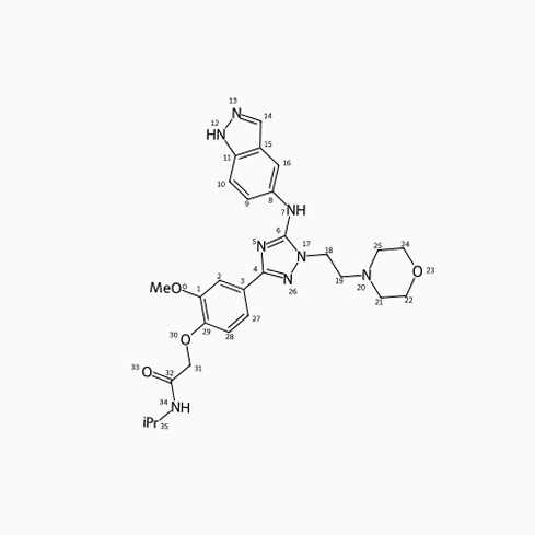 COc1cc(-c2nc(Nc3ccc4[nH]ncc4c3)n(CCN3CCOCC3)n2)ccc1OCC(=O)NC(C)C